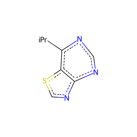 CC(C)c1ncnc2ncsc12